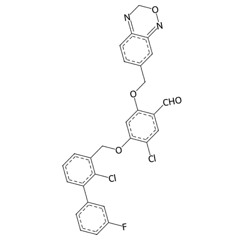 O=Cc1cc(Cl)c(OCc2cccc(-c3cccc(F)c3)c2Cl)cc1OCc1ccc2c(c1)=NOCN=2